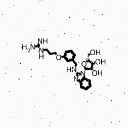 N=C(N)NCCCOc1cccc(CNc2nc3ccccc3n2[C@@H]2O[C@H](CO)[C@@H](O)[C@H]2O)c1